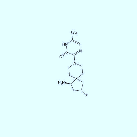 CC(C)(C)c1cnc(N2CCC3(CC2)CC(F)C[C@H]3N)c(=O)[nH]1